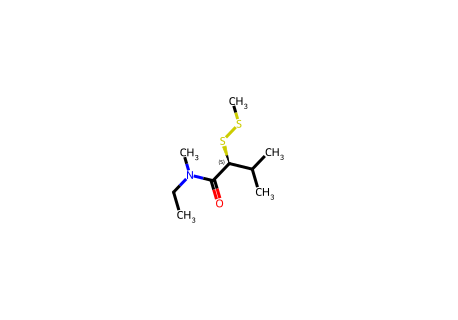 CCN(C)C(=O)[C@@H](SSC)C(C)C